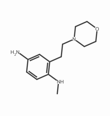 CNc1ccc(N)cc1CCN1CCOCC1